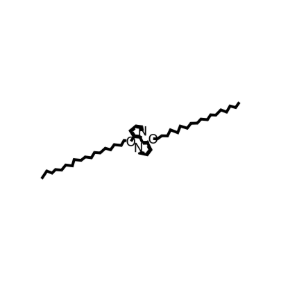 CCCCCCCCCCCCCCCCCCOc1cccnc1-c1ncccc1OCCCCCCCCCCCCCCCCCC